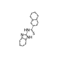 S=C(Nc1nc2ccccc2[nH]1)c1ccc2ccccc2c1